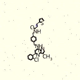 Cc1cnn2c(NCc3ccc(CNC(=O)/C=C/c4cccs4)cc3)cc(-c3ccccc3Cl)nc12